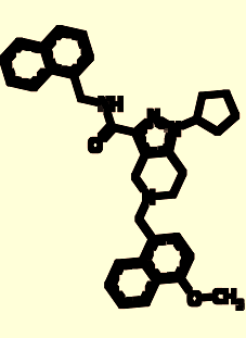 COc1ccc(CN2CCc3c(c(C(=O)NCc4cccc5ccccc45)nn3C3CCCC3)C2)c2ccccc12